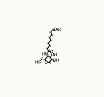 CCCCCCCCCCCCCCCCCC(=O)N[C@H]1[C@H](O)[C@@H](O)[CH]O[C@@H]1CO